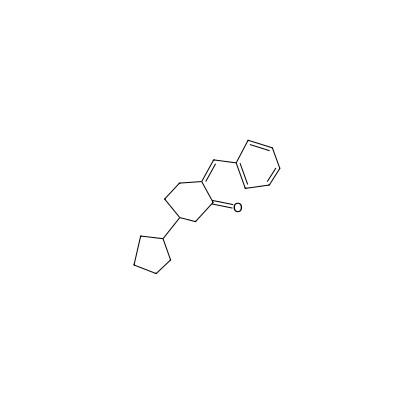 O=C1CC(C2CCCC2)CCC1=Cc1ccccc1